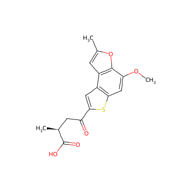 COc1cc2sc(C(=O)C[C@H](C)C(=O)O)cc2c2cc(C)oc12